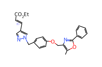 CCOC(=O)/C=C/c1cnn(Cc2ccc(OCc3nc(-c4ccccc4)oc3C)cc2)c1